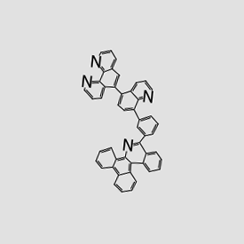 c1cc(-c2nc3c4ccccc4c4ccccc4c3c3ccccc23)cc(-c2ccc(-c3cc4cccnc4c4ncccc34)c3cccnc23)c1